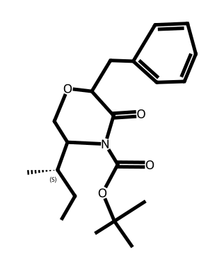 CC[C@H](C)C1COC(Cc2ccccc2)C(=O)N1C(=O)OC(C)(C)C